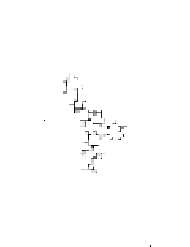 O=C(Nc1ncc(N2CCOCC2)s1)C(OC1CCOCC1)c1ccc(S(=O)(=O)C2CC2)cc1